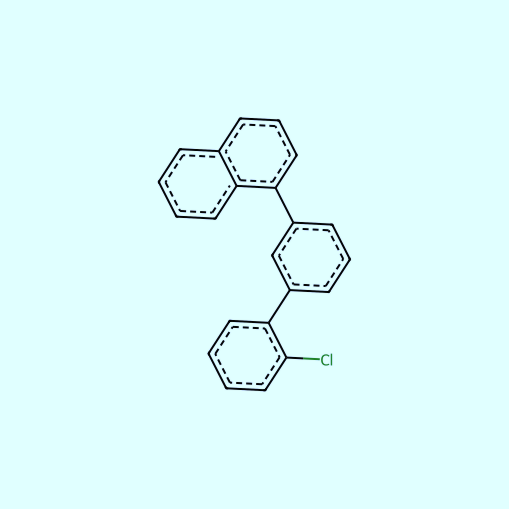 Clc1ccccc1-c1cccc(-c2cccc3ccccc23)c1